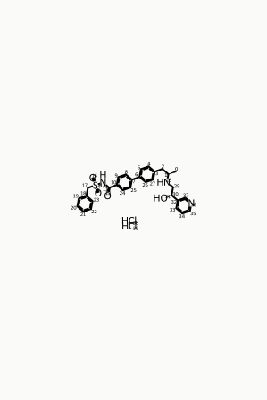 C[C@H](Cc1ccc(-c2ccc(C(=O)NS(=O)(=O)Cc3ccccc3)cc2)cc1)NC[C@H](O)c1cccnc1.Cl.Cl